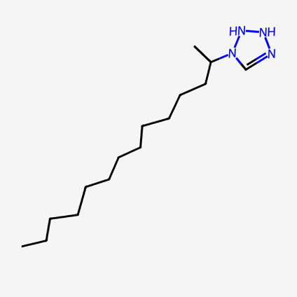 CCCCCCCCCCCCC(C)N1C=NNN1